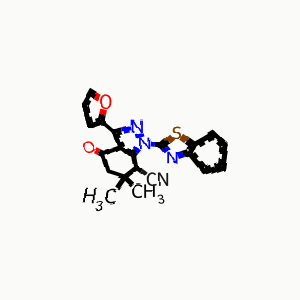 CC1(C)CC(=O)c2c(-c3ccco3)nn(-c3nc4ccccc4s3)c2C1C#N